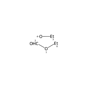 CCOC=O.CC[O]